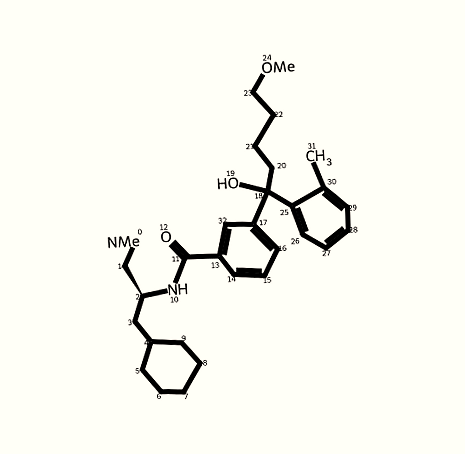 CNC[C@H](CC1CCCCC1)NC(=O)c1cccc(C(O)(CCCCOC)c2ccccc2C)c1